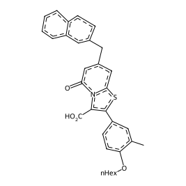 CCCCCCOc1ccc(-c2sc3cc(Cc4ccc5ccccc5c4)cc(=O)n3c2C(=O)O)cc1C